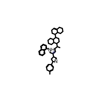 CC1=CC=C(C2CC(/C(=C/CC(C)C3CCC(C4CCC=C5CCCCC54)C4CCCCC34)CNc3cccc4ccccc34)C=N2)C=CC1